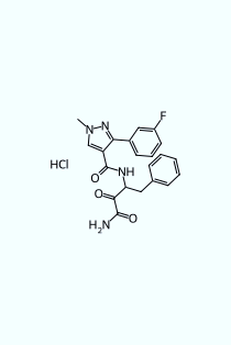 Cl.Cn1cc(C(=O)NC(Cc2ccccc2)C(=O)C(N)=O)c(-c2cccc(F)c2)n1